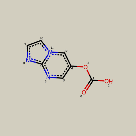 O=C(O)Oc1cnc2nccn2c1